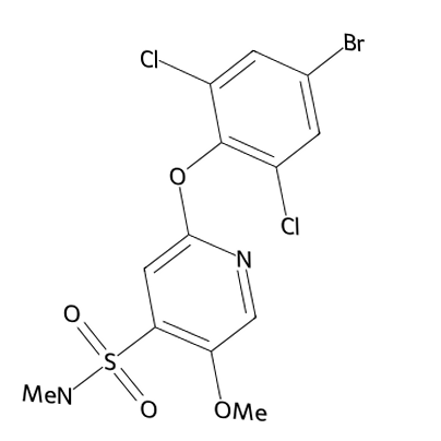 CNS(=O)(=O)c1cc(Oc2c(Cl)cc(Br)cc2Cl)ncc1OC